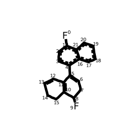 Fc1ccc(C2=CCC(F)C3=C2C=CCC3)c2ccccc12